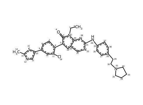 CCn1c(=O)c(-c2ccc(-c3cnc(C)s3)cc2Cl)cc2cnc(Nc3ccc(CCN4CCCC4)cc3)nc21